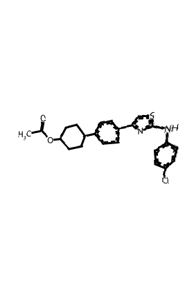 CC(=O)OC1CCC(c2ccc(-c3csc(Nc4ccc(Cl)cc4)n3)cc2)CC1